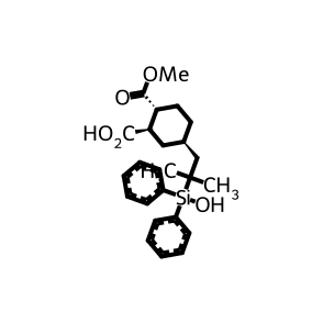 COC(=O)[C@@H]1CC[C@@H](CC(C)(C)[Si](O)(c2ccccc2)c2ccccc2)C[C@H]1C(=O)O